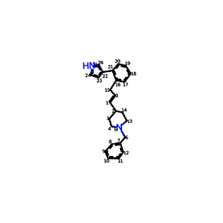 C(=CC1CCN(Cc2ccccc2)CC1)Cc1ccccc1-c1cc[nH]c1